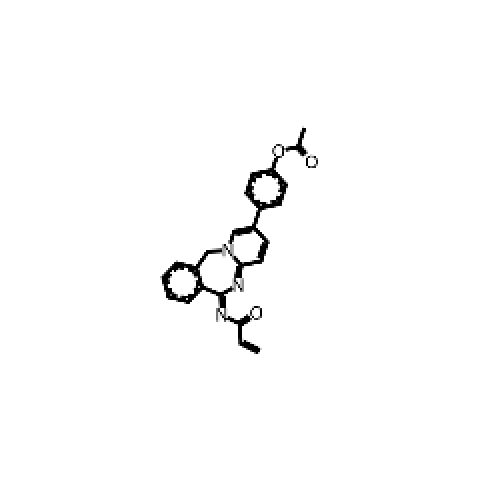 C=CC(=O)/N=C1\N=C2C=CC(c3ccc(OC(C)=O)cc3)=CN2Cc2ccccc21